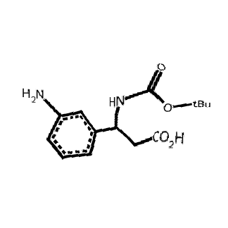 CC(C)(C)OC(=O)NC(CC(=O)O)c1cccc(N)c1